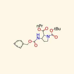 CCCOC(=O)C1C(NC(=O)OCc2ccccc2)CCN1C(=O)OC(C)(C)C